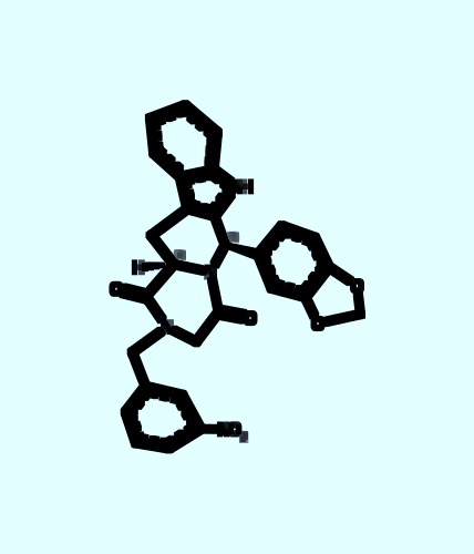 O=C1[C@H]2Cc3c([nH]c4ccccc34)[C@@H](c3ccc4c(c3)OCO4)N2C(=O)CN1Cc1cccc([N+](=O)[O-])c1